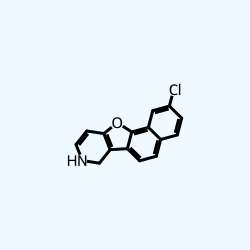 Clc1ccc2ccc3c4c(oc3c2c1)C=CNC4